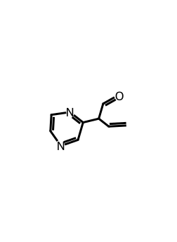 C=CC(C=O)c1cnccn1